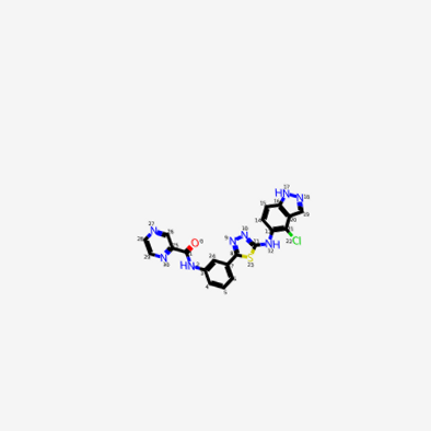 O=C(Nc1cccc(-c2nnc(Nc3ccc4[nH]ncc4c3Cl)s2)c1)c1cnccn1